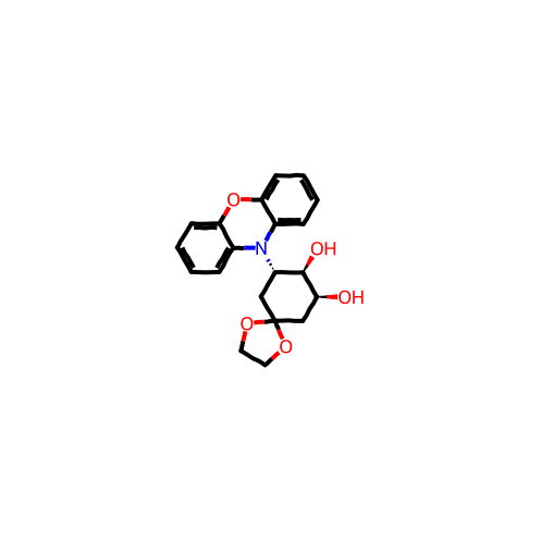 O[C@H]1[C@@H](O)CC2(C[C@@H]1N1c3ccccc3Oc3ccccc31)OCCO2